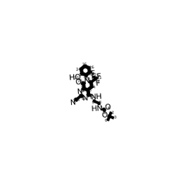 CC(C)(C)OC(=O)NCCNc1nc(C#N)nc2c(=O)n(-c3c(O)cccc3F)c(C(F)(F)F)cc12